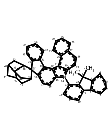 CC1(C)c2ccccc2-c2cccc(-n3c4ccc5c(c4c4c6ccccc6ccc43)-c3ccccc3C53C4CC5CC(C4)CC3C5)c21